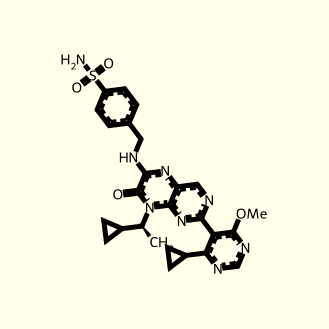 COc1ncnc(C2CC2)c1-c1ncc2nc(NCc3ccc(S(N)(=O)=O)cc3)c(=O)n([C@@H](C)C3CC3)c2n1